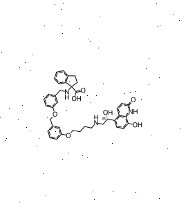 O=C(O)C1(NCc2cccc(OCc3cccc(OCCCCNC[C@H](O)c4ccc(O)c5[nH]c(=O)ccc45)c3)c2)CCc2ccccc21